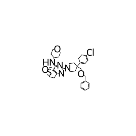 [O-][S+]1CCc2nc(N3CCC(COCc4ccccc4)(C4=CC=C(Cl)CC4)CC3)nc(NC3CCOCC3)c21